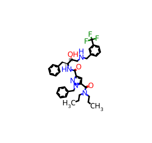 CCCN(CCC)C(=O)c1cc(C(=O)N[C@@H](Cc2ccccc2)[C@H](O)CNCc2cccc(C(F)(F)F)c2)nn1Cc1ccccc1